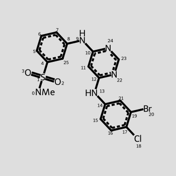 CNS(=O)(=O)c1cccc(Nc2cc(Nc3ccc(Cl)c(Br)c3)ncn2)c1